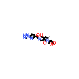 C[C@H]1CC2(CCN(CC(O)c3ccc(-n4cnnn4)nc3)CC2)C(=O)N1C1=CC(=O)OC1